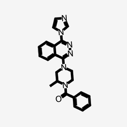 CC1CN(c2nnc(-n3ccnc3)c3ccccc23)CCN1C(=O)c1ccccc1